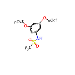 CCCCCCCCOc1cc(NS(=O)(=O)C(F)(F)F)cc(OCCCCCCCC)c1